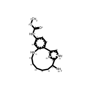 COC(=O)Nc1ccc2c(c1)NCCCCCC(N)c1nc-2c[nH]1